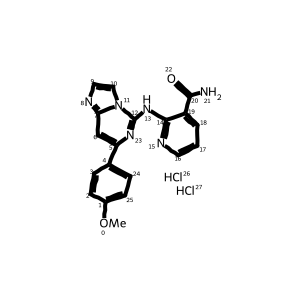 COc1ccc(-c2cc3nccn3c(Nc3ncccc3C(N)=O)n2)cc1.Cl.Cl